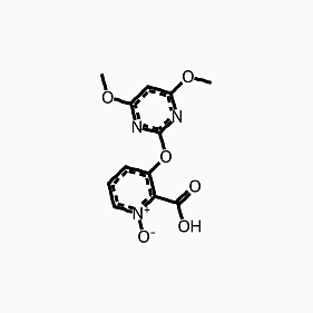 COc1cc(OC)nc(Oc2ccc[n+]([O-])c2C(=O)O)n1